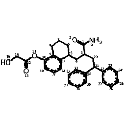 NC(=O)C(CC1CCCc2c(OC(=O)CO)cccc21)CC(c1ccccc1)c1ccccc1